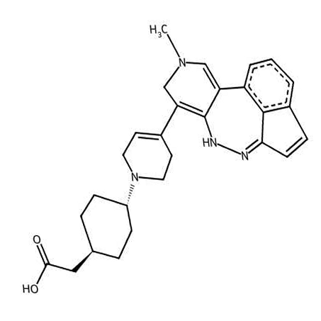 CN1C=C2C(=C(C3=CCN([C@H]4CC[C@H](CC(=O)O)CC4)CC3)C1)NN=C1C=Cc3cccc2c31